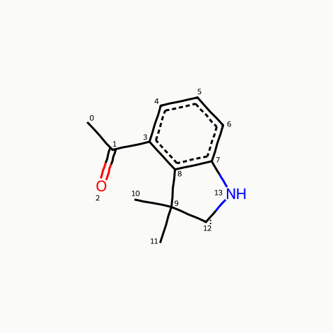 CC(=O)c1cccc2c1C(C)(C)[C]N2